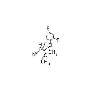 CCOC(=NC#N)C(C)(C)Oc1ccc(F)cc1F